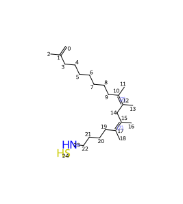 C=C(C)CCCCCCC/C(C)=C(/C)C/C(C)=C(/C)CCCCNS